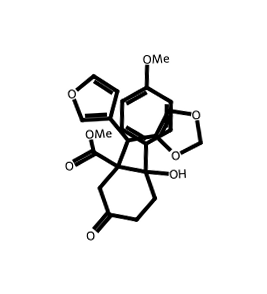 COC(=O)C1(C(C2=COCO2)c2ccoc2)CC(=O)CCC1(O)c1ccc(OC)cc1